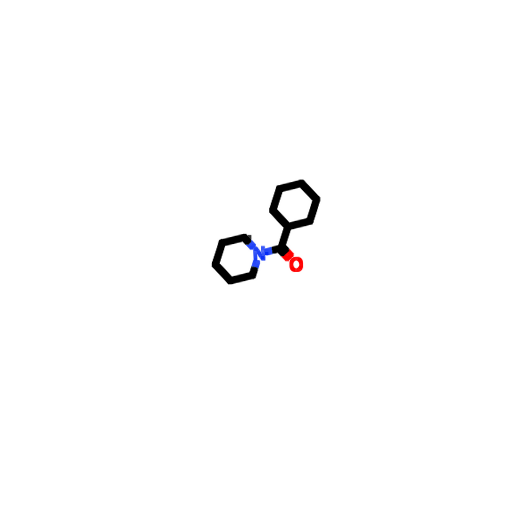 O=C(C1CCCCC1)N1[CH]CCCC1